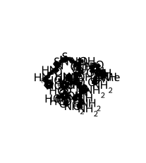 CO[C@@]12[C@H](COC(N)=O)C3=C(C(=O)C(C)=C(N)C3=O)N1C[C@@H]1N[C@@H]12.Cc1c(N)nc(C(CC(N)=O)NCC(N)C(N)=O)nc1C(=O)NC(C(=O)NC(C)C(O)C(C)C(=O)NC(C(=O)NCCc1nc(-c2nc(C(=O)NCCCN[C@@H](C)c3ccccc3)cs2)cs1)C(C)O)C(O[C@@H]1O[C@@H](CO)[C@@H](O)[C@H](O)[C@@H]1O[C@H]1O[C@H](CO)[C@@H](O)[C@H](OC(N)=O)[C@@H]1O)c1c[nH]cn1